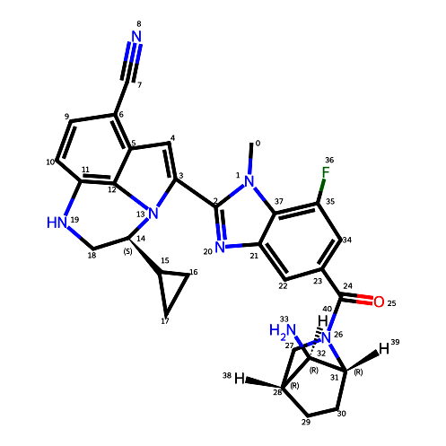 Cn1c(-c2cc3c(C#N)ccc4c3n2[C@@H](C2CC2)CN4)nc2cc(C(=O)N3C[C@H]4CC[C@@H]3[C@@H]4N)cc(F)c21